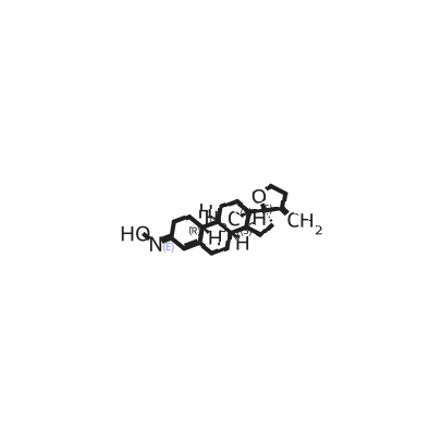 C=C1CCO[C@@]12CC[C@H]1[C@@H]3CCC4=C/C(=N/O)CC[C@@H]4[C@H]3CC[C@@]12C